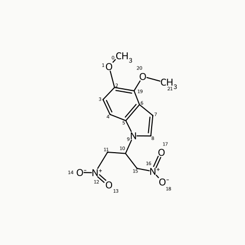 COc1ccc2c(ccn2C(C[N+](=O)[O-])C[N+](=O)[O-])c1OC